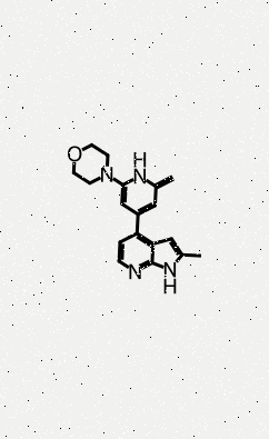 C=C1C=C(c2ccnc3[nH]c(C)cc23)C=C(N2CCOCC2)N1